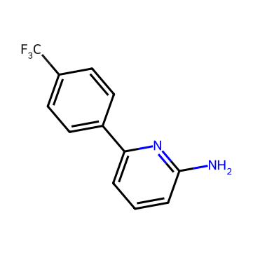 Nc1cccc(-c2ccc(C(F)(F)F)cc2)n1